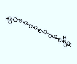 CC(C)(C)OC(=O)NCCOCCOCCOCCOCCOCCOCCOCCOCCOCC1CCC(C(=O)OC(C)(C)C)CC1